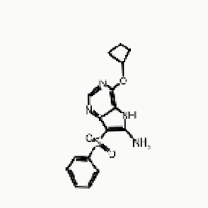 Nc1[nH]c2c(OC3CCC3)ncnc2c1S(=O)(=O)c1ccccc1